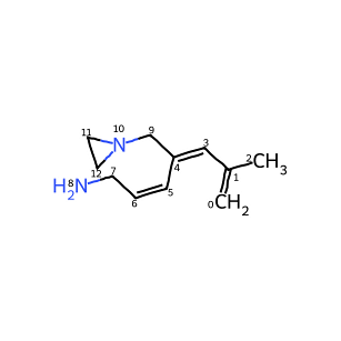 C=C(C)/C=C(\C=C/CN)CN1CC1